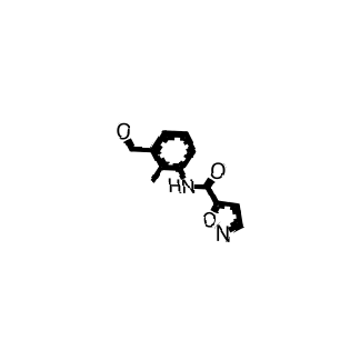 Cc1c(C=O)cccc1NC(=O)c1ccno1